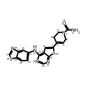 NC(=O)N1CC=C(c2cc3c(Nc4ccc5scnc5c4)ncnc3s2)CC1